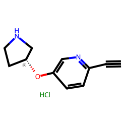 C#Cc1ccc(O[C@@H]2CCNC2)cn1.Cl